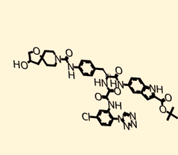 CC(C)(C)OC(=O)c1cc2cc(NC(=O)[C@H](Cc3ccc(NC(=O)N4CCC5(CC4)CC(O)CO5)cc3)NC(=O)C(=O)Nc3cc(Cl)ccc3-n3cnnn3)ccc2[nH]1